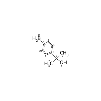 Bc1ccc(C(C)(C)O)cc1